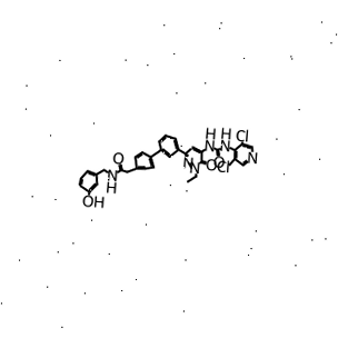 CCn1nc(-c2cccc(-c3ccc(CC(=O)NCc4cccc(O)c4)cc3)c2)cc(NC(=O)Nc2c(Cl)cncc2Cl)c1=O